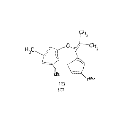 C[C](C)=[Ti]([O]c1cc(C)cc(C(C)(C)C)c1)[C]1=CC(C(C)(C)C)=CC1.Cl.Cl